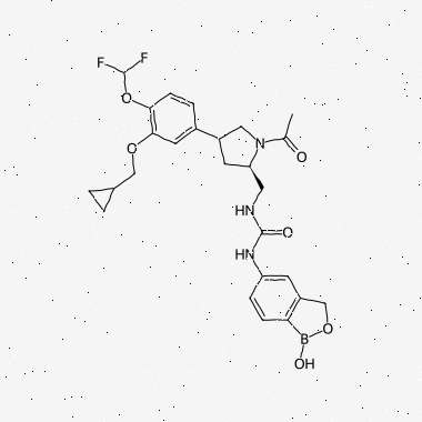 CC(=O)N1CC(c2ccc(OC(F)F)c(OCC3CC3)c2)C[C@@H]1CNC(=O)Nc1ccc2c(c1)COB2O